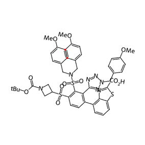 COc1ccc(CN(Cc2ccc(OC)cc2)S(=O)(=O)c2c(S(=O)(=O)C3CN(C(=O)OC(C)(C)C)C3)ccc(-c3cccc4sc(C(=O)O)nc34)c2-c2nnn(Cc3ccc(OC)cc3)n2)cc1